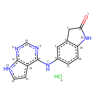 Cl.O=C1Cc2cc(Nc3ncnc4[nH]ccc34)ccc2N1